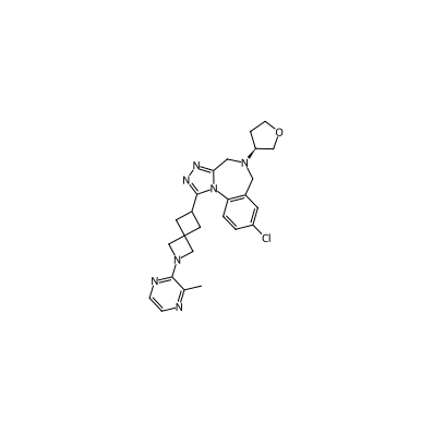 Cc1nccnc1N1CC2(CC(c3nnc4n3-c3ccc(Cl)cc3CN([C@H]3CCOC3)C4)C2)C1